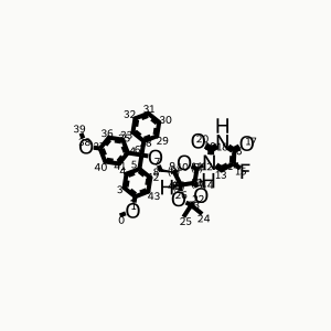 COc1ccc(C(OC[C@H]2O[C@@H](n3cc(F)c(=O)[nH]c3=O)[C@H]3OC(C)(C)O[C@@H]32)(c2ccccc2)c2ccc(OC)cc2)cc1